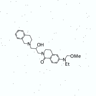 CCN(COC)c1ccc2c(c1)CCN(CC(O)CN1CCc3ccccc3C1)C2=O